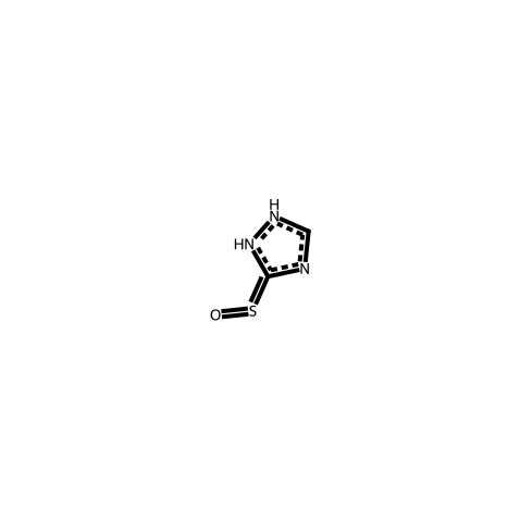 O=S=c1nc[nH][nH]1